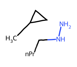 CC1CC1.CCCCNN